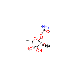 C[C@H]1O[C@@H](OOC(N)=O)[C@H]([O-])[C@@H](O)[C@@H]1O.[Na+]